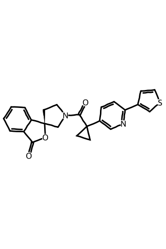 O=C1O[C@]2(CCN(C(=O)C3(c4ccc(-c5ccsc5)nc4)CC3)C2)c2ccccc21